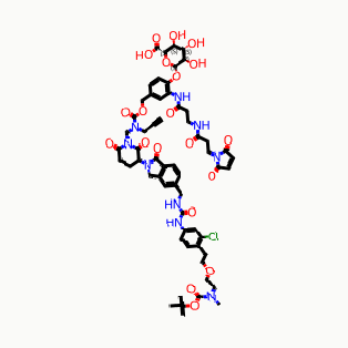 C#CCN(CN1C(=O)CCC(N2Cc3cc(CNC(=O)Nc4ccc(CCOCCN(C)C(=O)OC(C)(C)C)c(Cl)c4)ccc3C2=O)C1=O)C(=O)OCc1ccc(O[C@@H]2O[C@H](C(=O)O)[C@@H](O)[C@H](O)[C@H]2O)c(NC(=O)CCNC(=O)CCN2C(=O)C=CC2=O)c1